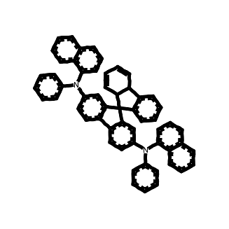 C1=CC2c3ccccc3C3(c4cc(N(c5ccccc5)c5cccc6ccccc56)ccc4-c4ccc(N(c5ccccc5)c5cccc6ccccc56)cc43)C2C=C1